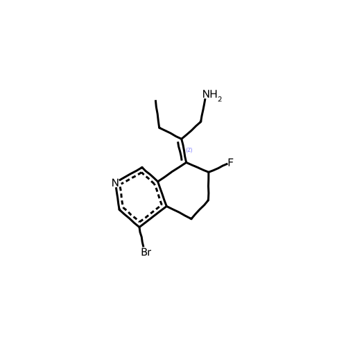 CC/C(CN)=C1\c2cncc(Br)c2CCC1F